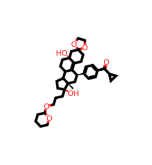 C[C@]12C[C@H](c3ccc(C(=O)C4CC4)cc3)C3=C4CCC5(C[C@]4(O)CCC3C1CC[C@@]2(O)CCCOC1CCCCO1)OCCO5